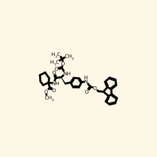 COC(=O)C1(NC(=O)[C@H](Cc2ccc(NC(=O)OCC3c4ccccc4-c4ccccc43)cc2)NC(=O)OC(C)(C)C)CCCCC1